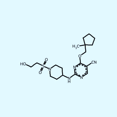 CC1(COc2nc(NC3CCN(S(=O)(=O)CCO)CC3)ncc2C#N)CCCC1